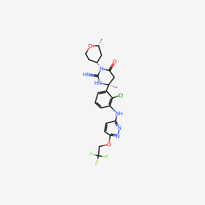 C[C@@H]1C[C@H](N2C(=N)N[C@](C)(c3cccc(Nc4ccc(OCC(F)(F)F)nn4)c3Cl)CC2=O)CCO1